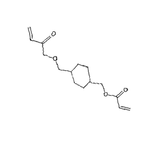 C=CC(=O)COCC1CCC(COC(=O)C=C)CC1